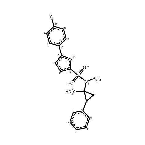 CN(C1(C(=O)O)CC1c1ccccc1)S(=O)(=O)c1ccc(-c2ccc(Cl)cc2)s1